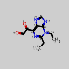 CCc1nc(C(=O)C=O)c2ncnc-2n1CC